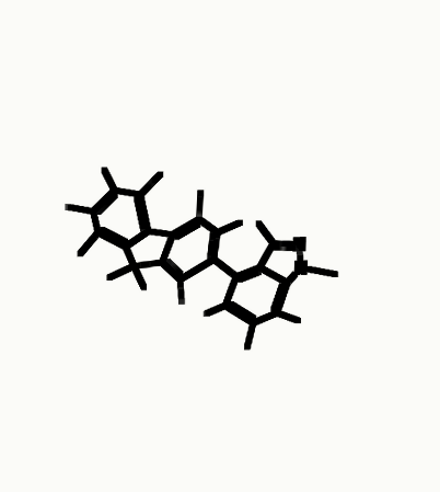 Cc1c(C)c(C)c2c(c1C)-c1c(C)c(C)c(-c3c(C)c(C)c(C)c4c3c(C)nn4C)c(C)c1C2(C)C